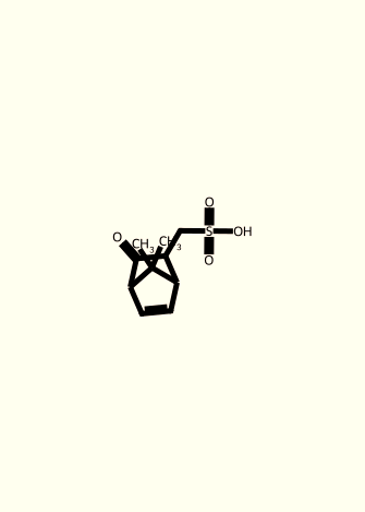 CC1(C)C2C=CC1C(CS(=O)(=O)O)C2=O